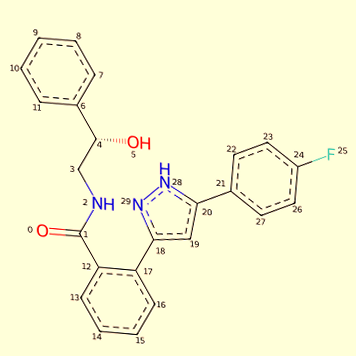 O=C(NC[C@@H](O)c1ccccc1)c1ccccc1-c1cc(-c2ccc(F)cc2)[nH]n1